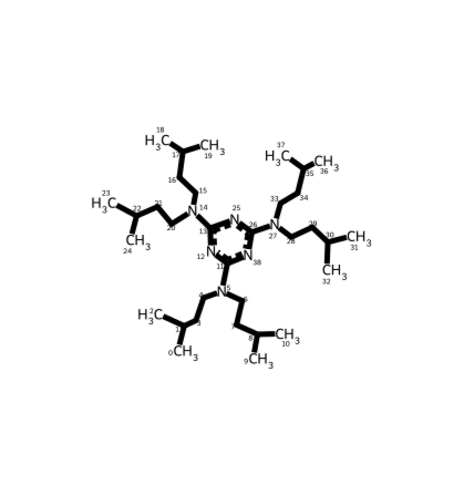 CC(C)CCN(CCC(C)C)c1nc(N(CCC(C)C)CCC(C)C)nc(N(CCC(C)C)CCC(C)C)n1